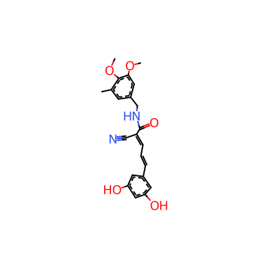 COc1cc(CNC(=O)/C(C#N)=C/C=C/c2cc(O)cc(O)c2)cc(C)c1OC